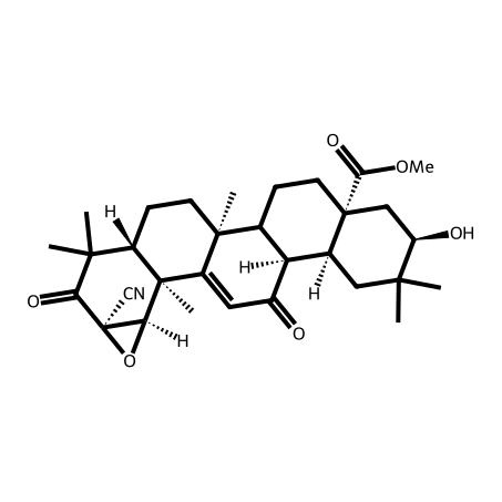 COC(=O)[C@@]12CCC3[C@H](C(=O)C=C4[C@@]5(C)[C@H]6O[C@@]6(C#N)C(=O)C(C)(C)[C@@H]5CC[C@]43C)[C@@H]1CC(C)(C)[C@H](O)C2